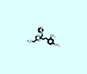 CCC1COC(CCc2ccc(C)cc2C)(Cn2ccnc2)O1